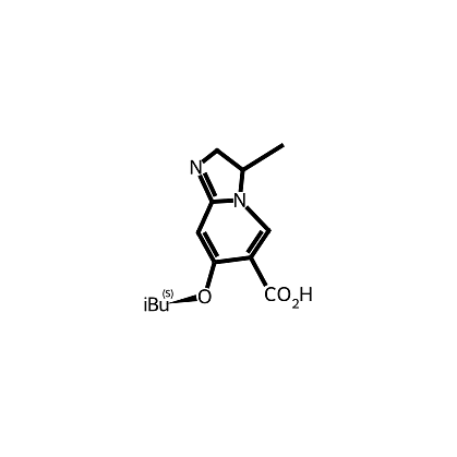 CC[C@H](C)OC1=CC2=NCC(C)N2C=C1C(=O)O